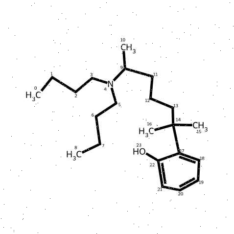 CCCCN(CCCC)C(C)CCCC(C)(C)c1ccccc1O